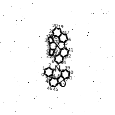 c1ccc(N(c2ccc3c4c(ccc3c2)-c2ccc3ccccc3c2C42c3ccccc3-c3ccccc32)c2cccc3oc4ccccc4c23)cc1